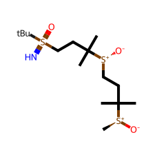 C[S@+]([O-])C(C)(C)CC[S@@+]([O-])C(C)(C)CCS(=N)(=O)C(C)(C)C